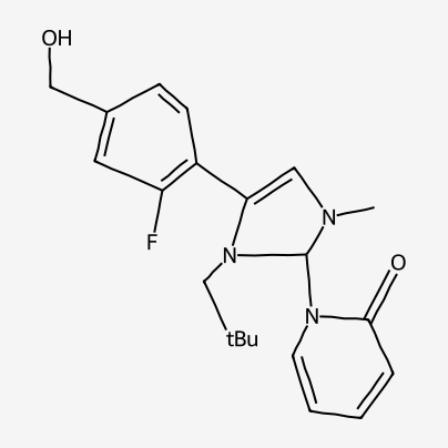 CN1C=C(c2ccc(CO)cc2F)N(CC(C)(C)C)C1n1ccccc1=O